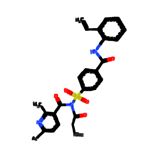 C=Cc1ccccc1NC(=O)c1ccc(S(=O)(=O)N(C(=O)CCCCCCCCCCC)C(=O)c2ccc(C(C)=O)nc2C)cc1